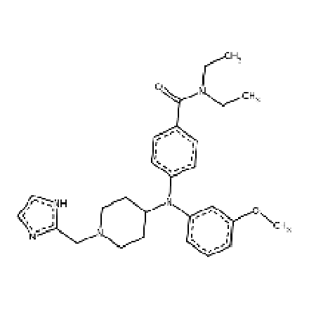 CCN(CC)C(=O)c1ccc(N(c2cccc(OC)c2)C2CCN(Cc3ncc[nH]3)CC2)cc1